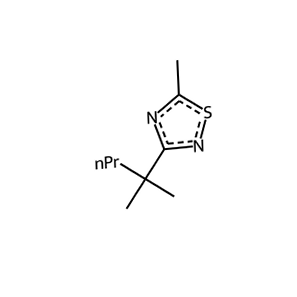 CCCC(C)(C)c1nsc(C)n1